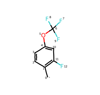 [CH2]c1ccc(OC(F)(F)F)cc1F